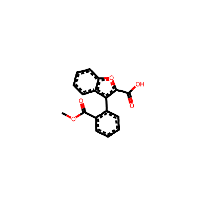 COC(=O)c1ccccc1-c1c(C(=O)O)oc2ccccc12